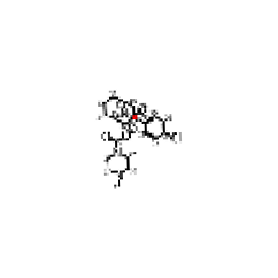 CN1CCN(C(=O)O[C@H]2CCC3CCCC2N3S(=O)(=O)c2ccc(Cl)cc2)CC1